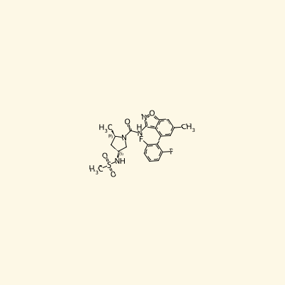 Cc1cc(-c2c(F)cccc2F)c2c(NC(=O)N3C[C@@H](NS(C)(=O)=O)C[C@H]3C)noc2c1